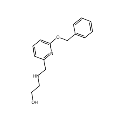 OCCNCc1cccc(OCc2ccccc2)n1